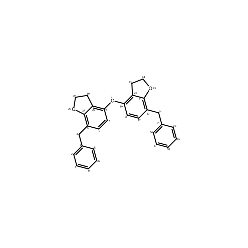 c1ccc(Cc2ccc(Oc3ccc(Cc4ccccc4)c4c3CCO4)c3c2OCC3)cc1